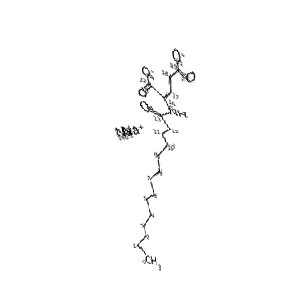 CCCCCCCCCCCCCC(=O)NC(CCC(=O)[O-])C(=O)[O-].[Na+].[Na+]